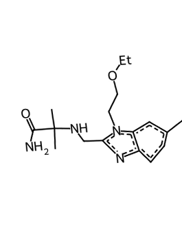 CCOCCn1c(CNC(C)(C)C(N)=O)nc2ccc(C)cc21